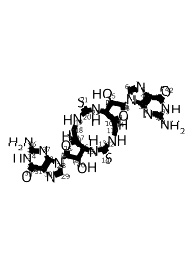 Nc1nc2c(ncn2[C@@H]2O[C@@H]3CNC(=S)NC4[C@@H](CNC(=S)NC3[C@@H]2O)O[C@@H](n2cnc3c(=O)[nH]c(N)nc32)[C@H]4O)c(=O)[nH]1